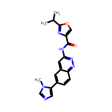 CC(C)c1nc(C(=O)Nc2cc3cc(-c4cncn4C)ccc3nn2)co1